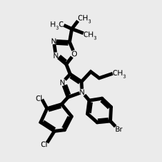 CCCc1c(-c2nnc(C(C)(C)C)o2)nc(-c2ccc(Cl)cc2Cl)n1-c1ccc(Br)cc1